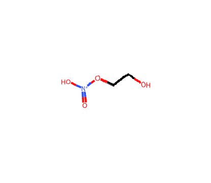 O=[N+](O)OCCO